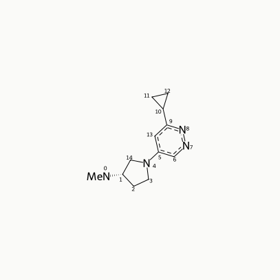 CN[C@H]1CCN(c2cnnc(C3CC3)c2)C1